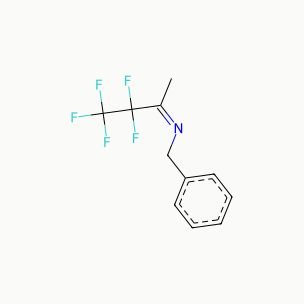 CC(=NCc1ccccc1)C(F)(F)C(F)(F)F